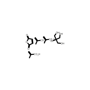 C=C(C)C(=O)O.C=C(C)C(=O)O.C=C(C)C(=O)O.CCC(CO)(CO)CO.O=C1C=CC(=O)O1